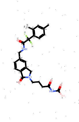 BC(=O)NC(=O)CCCN1Cc2cc(CNC(=O)C(F)(F)c3ccc(C)cc3C(F)(F)F)ccc2C1=O